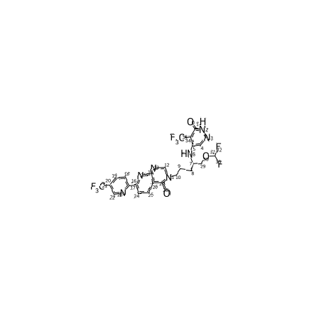 O=c1[nH]ncc(N[C@H](CCCn2cnc3nc(-c4ccc(C(F)(F)F)cn4)ccc3c2=O)COC(F)F)c1C(F)(F)F